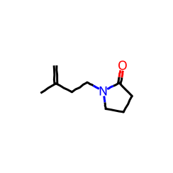 C=C(C)CCN1CCCC1=O